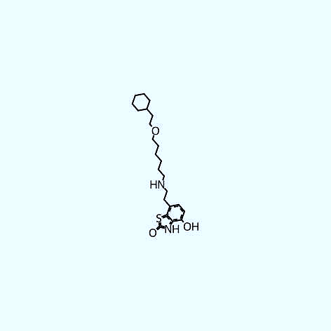 O=c1[nH]c2c(O)ccc(CCNCCCCCCOCCC3CCCCC3)c2s1